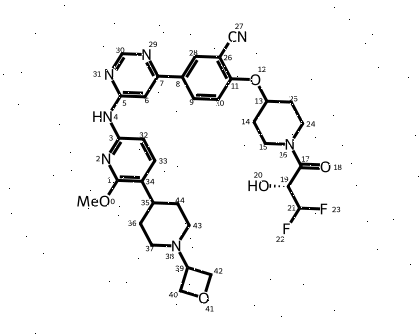 COc1nc(Nc2cc(-c3ccc(OC4CCN(C(=O)[C@@H](O)C(F)F)CC4)c(C#N)c3)ncn2)ccc1C1CCN(C2COC2)CC1